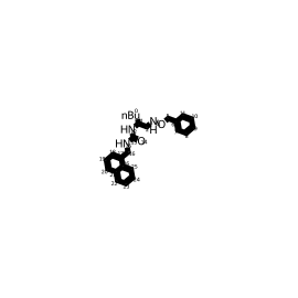 CCCCC(CNOCc1ccccc1)NC(=O)NCc1cccc2ccccc12